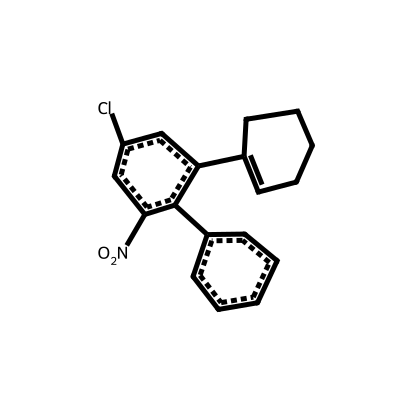 O=[N+]([O-])c1cc(Cl)cc(C2=CCCCC2)c1-c1ccccc1